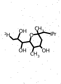 [2H]CC(O)C(O)C1OC(C)(CC(C)C)CC(O)C1C